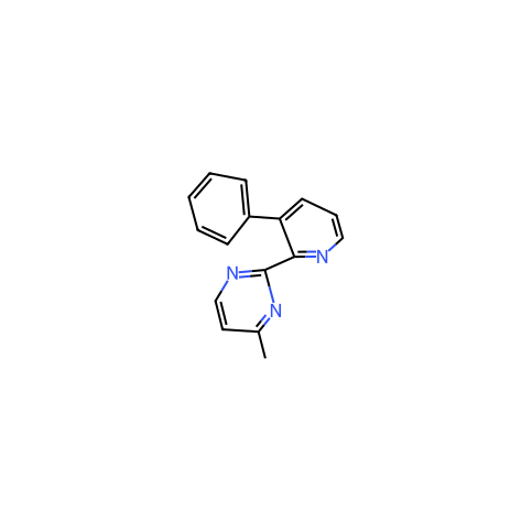 Cc1ccnc(-c2ncccc2-c2ccccc2)n1